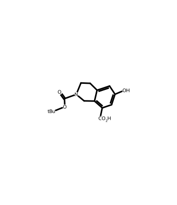 CC(C)(C)OC(=O)N1CCc2cc(O)cc(C(=O)O)c2C1